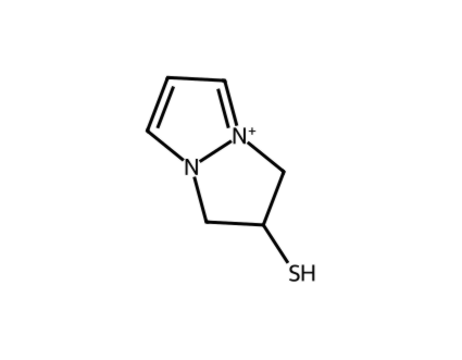 SC1Cn2ccc[n+]2C1